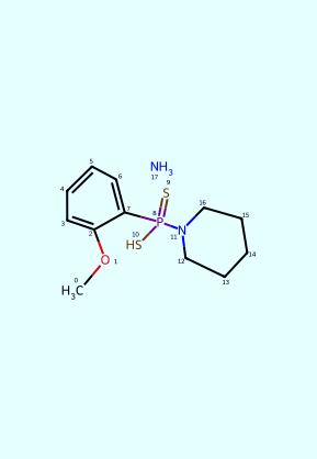 COc1ccccc1P(=S)(S)N1CCCCC1.N